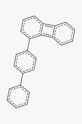 c1ccc(-c2ccc(-c3cccc4c3=c3ccccc3=4)cc2)cc1